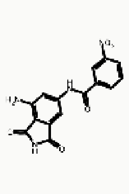 Nc1cc(NC(=O)c2cccc([N+](=O)[O-])c2)cc2c1C(=O)NC2=O